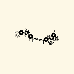 Cn1ncnc1[C@H]1c2n[nH]c(=O)c3cc(F)cc(c23)N[C@@H]1c1ccc(NCCOCCNc2ccc(N3C(=S)N(c4ccc(C#N)c(C(F)(F)F)c4)C(=O)C3(C)C)cc2F)cc1